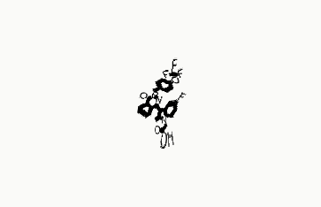 Cc1c(-c2nn(Cc3ccc(OC(F)(F)F)cc3)c(=O)c3ccccc23)c2cc(F)ccc2n1CC(=O)O